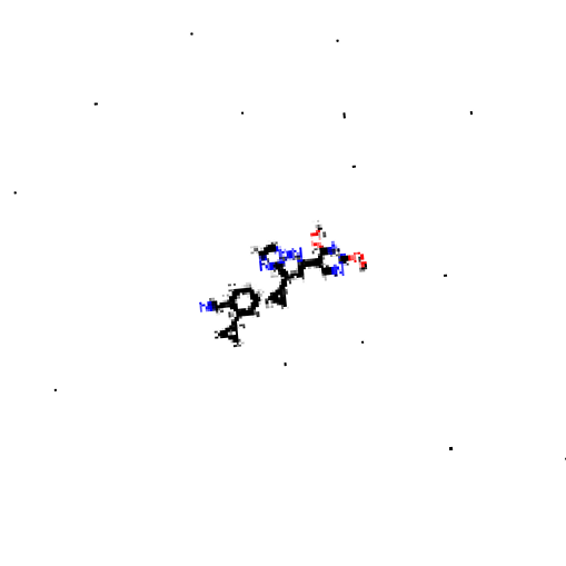 COc1ncc(-c2cc(C3C[C@@H]3c3ccc(C#N)c(C4CC4)c3)c3nccn3n2)c(OC)n1